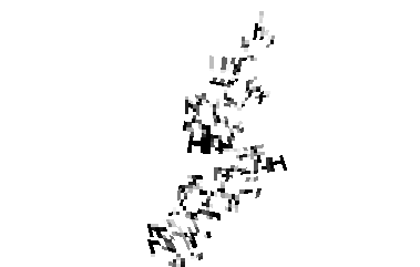 CN(C)CCNc1cc(F)cc(-c2cncc3[nH]c(-c4n[nH]c5ccc(-c6cncc(CN7CCC(F)(F)C7)c6)nc45)cc23)c1